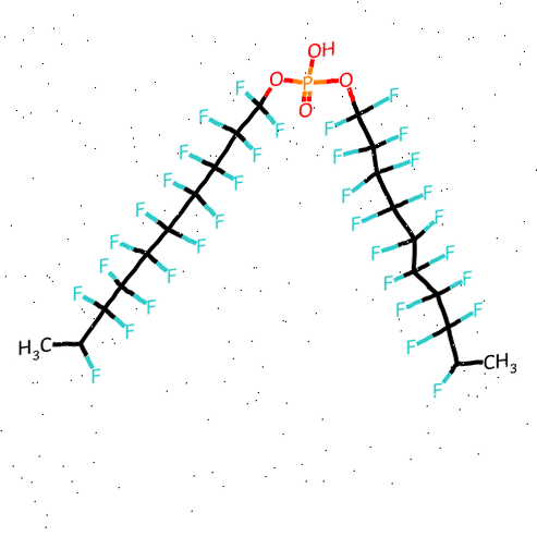 CC(F)C(F)(F)C(F)(F)C(F)(F)C(F)(F)C(F)(F)C(F)(F)C(F)(F)C(F)(F)OP(=O)(O)OC(F)(F)C(F)(F)C(F)(F)C(F)(F)C(F)(F)C(F)(F)C(F)(F)C(F)(F)C(C)F